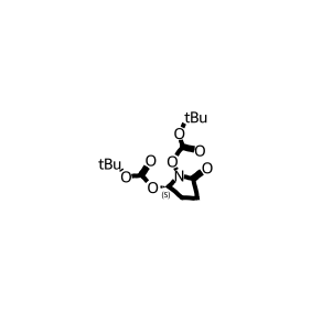 CC(C)(C)OC(=O)O[C@H]1CCC(=O)N1OC(=O)OC(C)(C)C